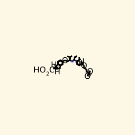 C=C/C(=C\C(COc1ccc2c(c1)C[C@H]1[C@H](C(=O)O)[C@@H]21)=C(C)C)c1ccc(OCCCS(C)(=O)=O)nc1C